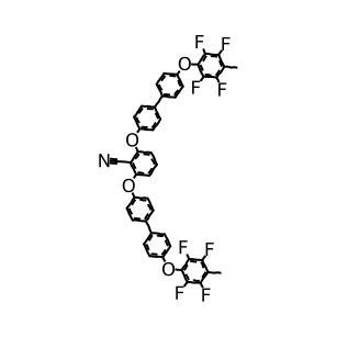 Cc1c(F)c(F)c(Oc2ccc(-c3ccc(Oc4cccc(Oc5ccc(-c6ccc(Oc7c(F)c(F)c(C)c(F)c7F)cc6)cc5)c4C#N)cc3)cc2)c(F)c1F